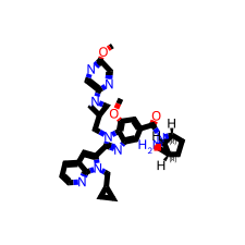 COc1cnc(N2CC(Cn3c(-c4cc5cccnc5n4CC4CC4)nc4cc(C(=O)N5C[C@H]6CC[C@@H]5[C@@H]6N)cc(OC)c43)C2)cn1